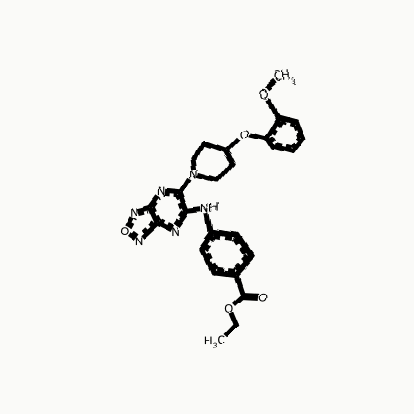 CCOC(=O)c1ccc(Nc2nc3nonc3nc2N2CCC(Oc3ccccc3OC)CC2)cc1